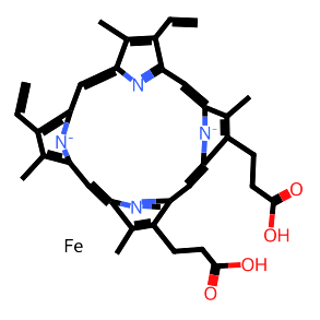 C=CC1=C(C)c2cc3[n-]c(cc4nc(cc5[n-]c(cc1n2)c(C)c5CCC(=O)O)C(CCC(=O)O)=C4C)c(C)c3C=C.[Fe]